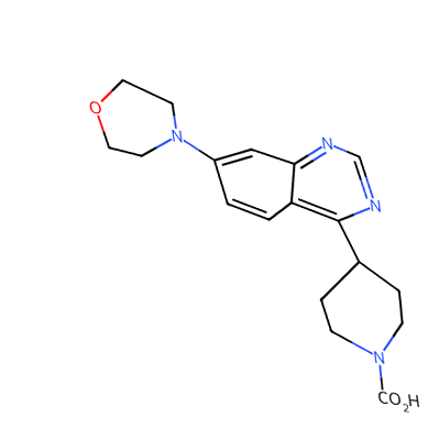 O=C(O)N1CCC(c2ncnc3cc(N4CCOCC4)ccc23)CC1